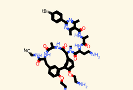 Cc1nc(-c2ccc(C(C)(C)C)cc2)nc(C)c1C(=O)NC(C)C(=O)NC(CCN)C(=O)N(C)C1C(=O)NC(C)C(=O)NC(C(=O)NCC#N)Cc2ccc(OCCN)c(c2)-c2cc1ccc2OCCN